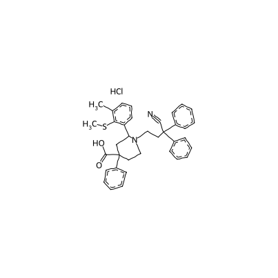 CSc1c(C)cccc1C1CC(C(=O)O)(c2ccccc2)CCN1CCC(C#N)(c1ccccc1)c1ccccc1.Cl